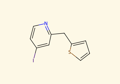 Ic1ccnc(Cc2cccs2)c1